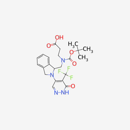 CC(C)(C)OC(=O)N(CCC(=O)O)CC1c2ccccc2CN1c1cn[nH]c(=O)c1C(F)(F)F